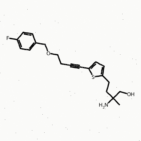 CC(N)(CO)CCc1ccc(C#CCCOCc2ccc(F)cc2)s1